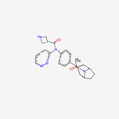 CC(C)(C)C(=O)N1C2CCC1CC(c1ccc(N(C(=O)C3CNC3)c3cccnn3)cc1)C2